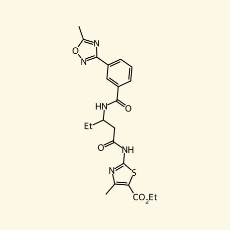 CCOC(=O)c1sc(NC(=O)CC(CC)NC(=O)c2cccc(-c3noc(C)n3)c2)nc1C